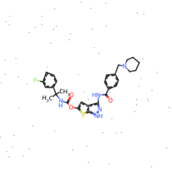 CC(C)(NC(=O)Oc1cc2c(NC(=O)c3ccc(CN4CCCCC4)cc3)n[nH]c2s1)c1cccc(F)c1